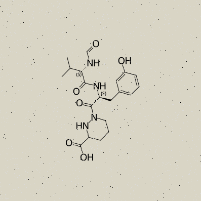 CC(C)[C@H](NC=O)C(=O)N[C@@H](Cc1cccc(O)c1)C(=O)N1CCCC(C(=O)O)N1